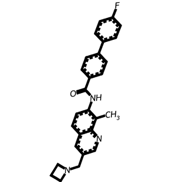 Cc1c(NC(=O)c2ccc(-c3ccc(F)cc3)cc2)ccc2cc(CN3CCC3)cnc12